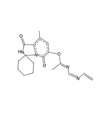 C=C/N=C\N=C(/C)Oc1cc(C)c2n(c1=O)C1(CCCCC1)NC2=O